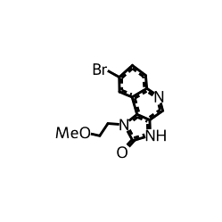 COCCn1c(=O)[nH]c2cnc3ccc(Br)cc3c21